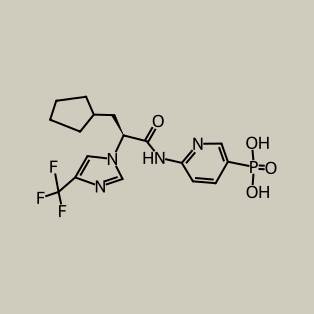 O=C(Nc1ccc(P(=O)(O)O)cn1)[C@H](CC1CCCC1)n1cnc(C(F)(F)F)c1